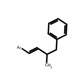 CC(=O)C=CC(C)Cc1ccccc1